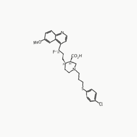 COc1ccc2nccc([C@@H](F)CC[C@@H]3CCN(CCCSc4ccc(Cl)cc4)C[C@@H]3C(=O)O)c2c1